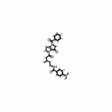 CC(CCNC(=O)c1ccc(N(C)C)cc1)CC(=O)N1CCC2C1C(=O)CN2C(=O)c1ccccc1